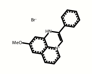 COc1cc2c3c(ccc[n+]3C=C(c3ccccc3)N2)c1.[Br-]